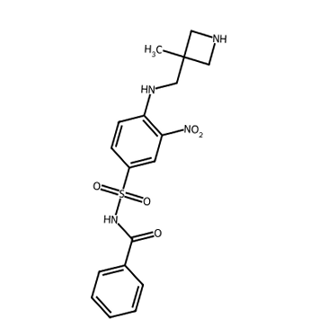 CC1(CNc2ccc(S(=O)(=O)NC(=O)c3ccccc3)cc2[N+](=O)[O-])CNC1